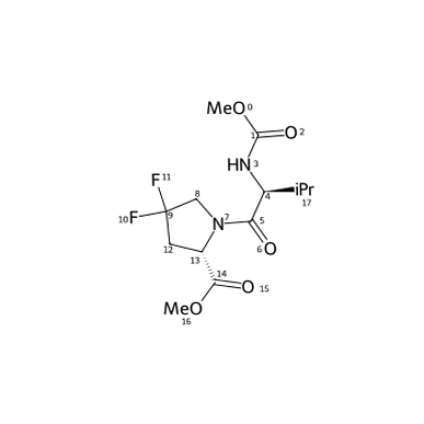 COC(=O)N[C@H](C(=O)N1CC(F)(F)C[C@H]1C(=O)OC)C(C)C